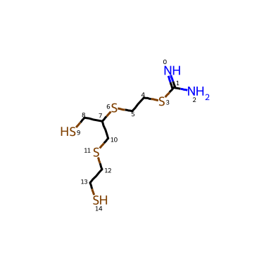 N=C(N)SCCSC(CS)CSCCS